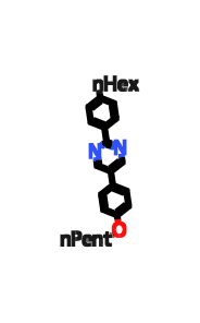 CCCCCCc1ccc(-c2ncc(-c3ccc(OCCCCC)cc3)cn2)cc1